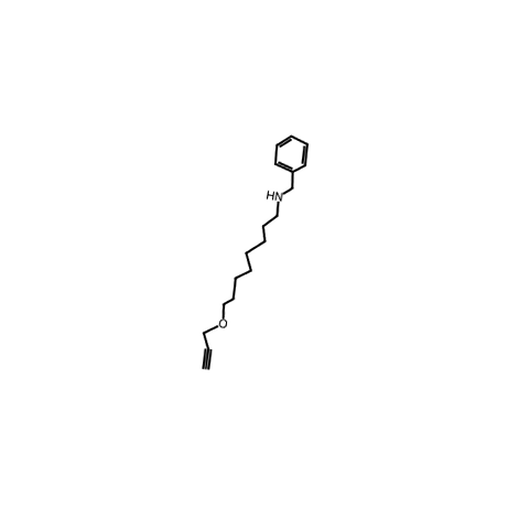 C#CCOCCCCCCCCNCc1ccccc1